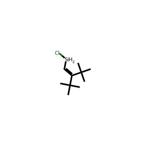 CC(C)(C)C(=C[SiH2]Cl)C(C)(C)C